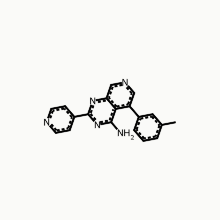 Cc1cccc(-c2cncc3nc(-c4ccncc4)nc(N)c23)c1